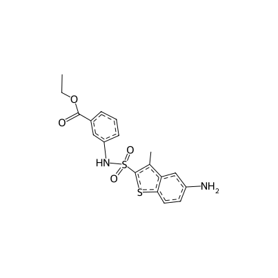 CCOC(=O)c1cccc(NS(=O)(=O)c2sc3ccc(N)cc3c2C)c1